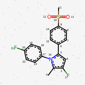 Cc1c(F)cc(-c2ccc(S(C)(=O)=O)cc2)n1-c1ccc(F)cc1